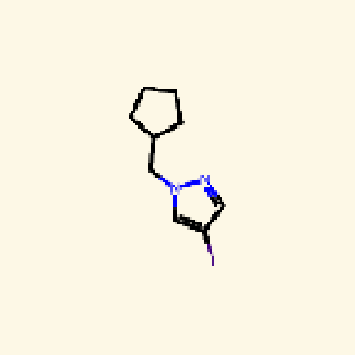 Ic1cnn(CC2CCCC2)c1